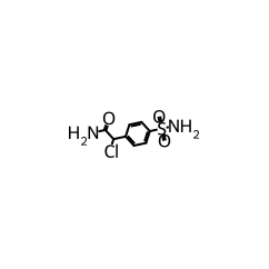 NC(=O)C(Cl)c1ccc(S(N)(=O)=O)cc1